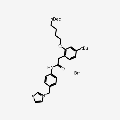 CCCCCCCCCCCCCCOc1cc(C(C)(C)C)ccc1CC(=O)Nc1ccc(C[n+]2ccsc2)cc1.[Br-]